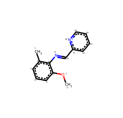 COc1cccc(C)c1/N=C/c1ccccn1